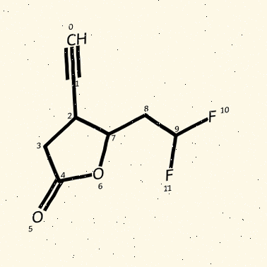 C#CC1CC(=O)OC1CC(F)F